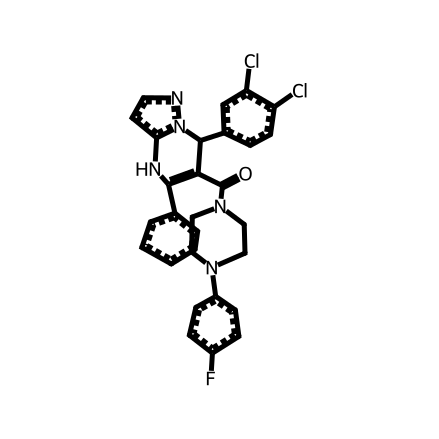 O=C(C1=C(c2ccccc2)Nc2ccnn2C1c1ccc(Cl)c(Cl)c1)N1CCN(c2ccc(F)cc2)CC1